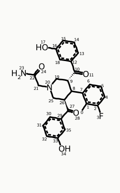 Cc1c(F)cccc1C1[C@@H](C(=O)c2cccc(O)c2)CN(CC(N)=O)C[C@@H]1C(=O)c1cccc(O)c1